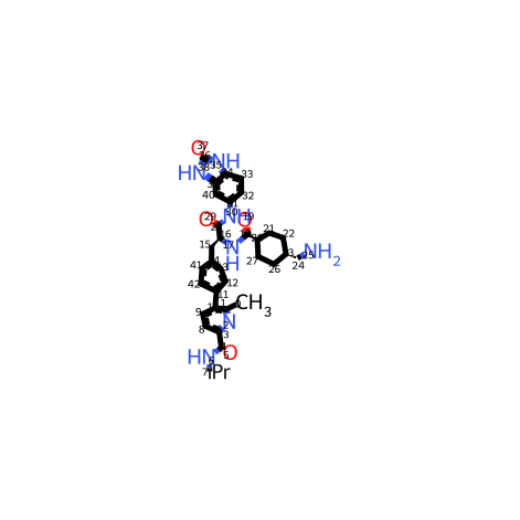 Cc1nc(C(=O)NC(C)C)ccc1-c1ccc(C[C@H](NC(=O)[C@H]2CC[C@H](CN)CC2)C(=O)Nc2ccc3[nH]c(=O)[nH]c3c2)cc1